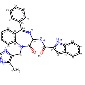 Cc1[nH]cnc1CN1C(=O)C(NC(=O)c2cc3ccccc3[nH]2)N=C(c2ccccc2)c2ccccc21